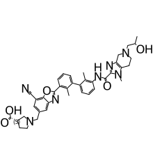 Cc1c(NC(=O)c2nc3c(n2C)CCN(CC(C)O)C3)cccc1-c1cccc(-c2nc3cc(CN4CC[C@H](C(=O)O)C4)cc(C#N)c3o2)c1C